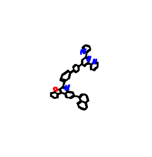 c1ccc(-c2cc(-c3ccc(-c4cccc(-c5nc6cc(-c7cccc8ccccc78)ccc6c6c5oc5ccccc56)c4)cc3)cc(-c3ccccn3)n2)nc1